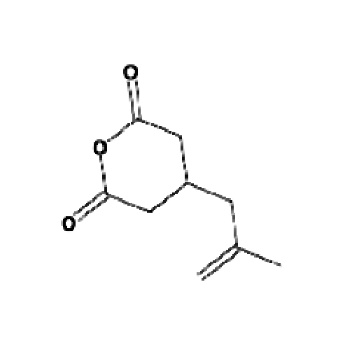 C=C(C)CC1CC(=O)OC(=O)C1